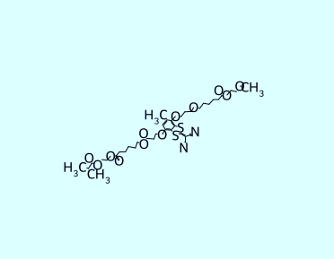 COCCOC(=O)CCCCCOCCCOc1c(C)cc(OCCC(=O)OCCCCCC(=O)OCCOC(=O)C(C)C)c2c1SC(=C(C#N)C#N)S2